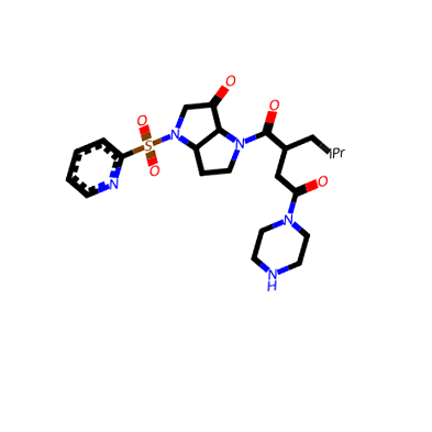 CC(C)CC(CC(=O)N1CCNCC1)C(=O)N1CCC2C1C(=O)CN2S(=O)(=O)c1ccccn1